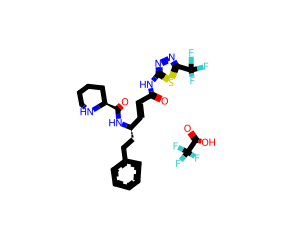 O=C(/C=C/[C@H](CCc1ccccc1)NC(=O)[C@@H]1CCCCN1)Nc1nnc(C(F)(F)F)s1.O=C(O)C(F)(F)F